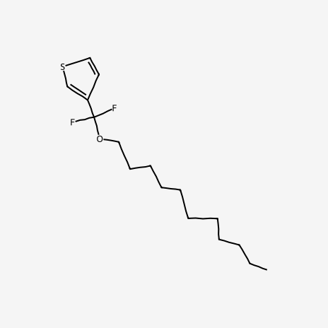 CCCCCCCCCCCOC(F)(F)c1ccsc1